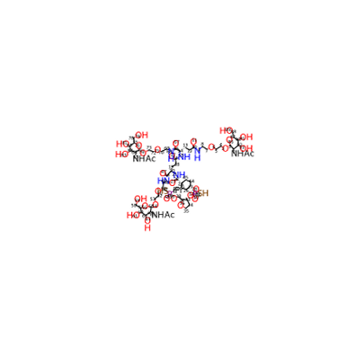 CC(=O)NC1C(OCCOCCNC(=O)CC[C@H](NC(=O)CC[C@H](NC(=O)[C@H]2CC[C@@H](OP(=O)(S)O[C@H]3CCOC3COP(=O)(S)C(C)C)CC2)C(=O)NCCOCCOC2OC(CO)C(O)C(O)C2NC(C)=O)C(=O)NCCOCCOC2OC(CO)C(O)C(O)C2NC(C)=O)OC(CO)C(O)C1O